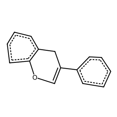 C1=C(c2ccccc2)Cc2ccccc2O1